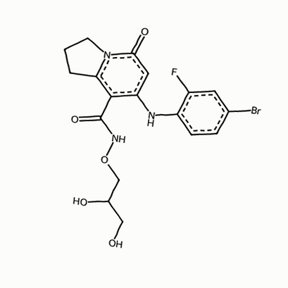 O=C(NOCC(O)CO)c1c(Nc2ccc(Br)cc2F)cc(=O)n2c1CCC2